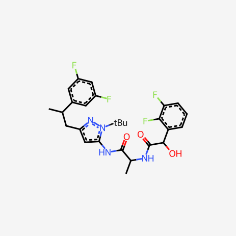 CC(NC(=O)C(O)c1cccc(F)c1F)C(=O)Nc1cc(CC(C)c2cc(F)cc(F)c2)nn1C(C)(C)C